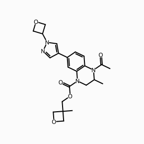 CC(=O)N1c2ccc(-c3cnn(C4COC4)c3)cc2N(C(=O)OCC2(C)COC2)CC1C